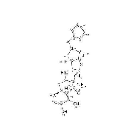 C[C@@H](CC(N[C@H]1CC[C@@H]2CN(Cc3ccccc3)C[C@@H]21)C(C)(C)C)[C@@H](C=O)N(C)C(=O)O